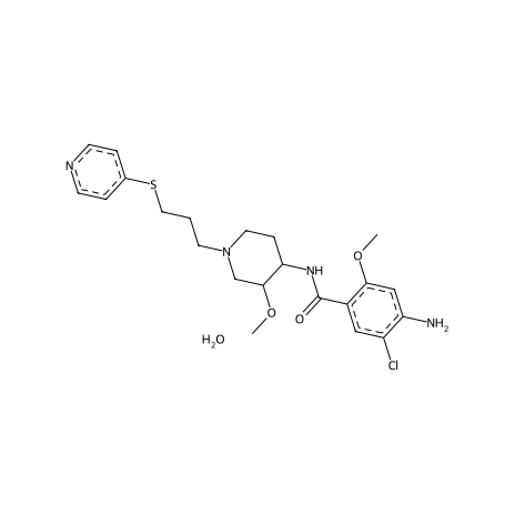 COc1cc(N)c(Cl)cc1C(=O)NC1CCN(CCCSc2ccncc2)CC1OC.O